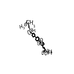 CN(C)CCNC(=O)c1ccc(-c2ccc(S(=O)(=O)n3ccc(/C=C/C(=O)NO)c3)cc2)cc1